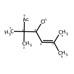 CC(=O)C(C)(C)C(Cl)C=C(C)C